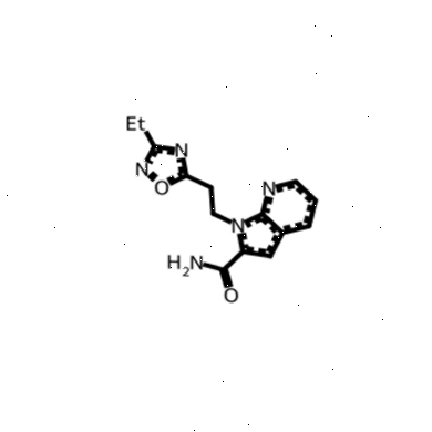 CCc1noc(CCn2c(C(N)=O)cc3cccnc32)n1